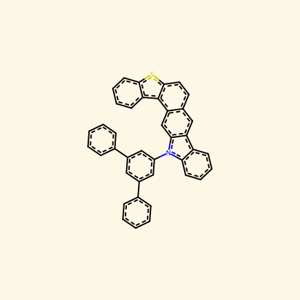 c1ccc(-c2cc(-c3ccccc3)cc(-n3c4ccccc4c4cc5ccc6sc7ccccc7c6c5cc43)c2)cc1